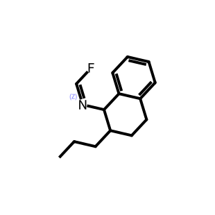 CCCC1CCc2ccccc2C1/N=C\F